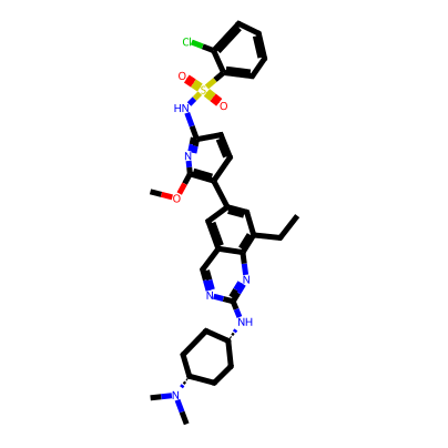 CCc1cc(-c2ccc(NS(=O)(=O)c3ccccc3Cl)nc2OC)cc2cnc(N[C@H]3CC[C@@H](N(C)C)CC3)nc12